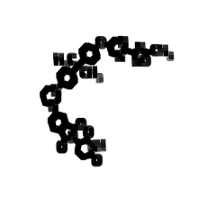 Cc1nc(-c2ncc(Oc3ccc(C(C)(C)c4ccc(N5CCCN(c6ccc7c(c6)C(=O)N(C6CCC(=O)NC6=O)C7=O)C5)cc4)cc3)cn2)no1